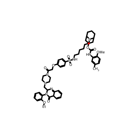 CCOc1ccccc1N1C(=O)C2C=CC=CC2=NC1CN1CCN(C(=O)COc2ccc(S(=O)(=O)NCCCCCCN3C4CCCC3CC(OC(=O)Nc3cc(C)ccc3OC)C4)cc2)CC1